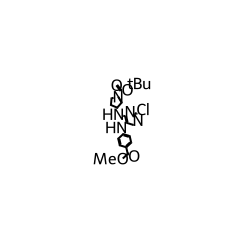 COC(=O)c1ccc(Nc2cnc(Cl)nc2N[C@H]2CCN(C(=O)OC(C)(C)C)C2)cc1